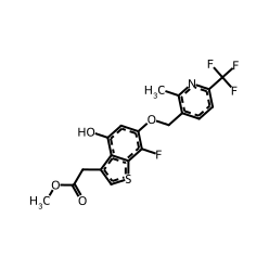 COC(=O)Cc1csc2c(F)c(OCc3ccc(C(F)(F)F)nc3C)cc(O)c12